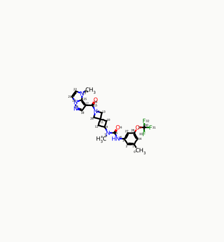 Cc1cc(NC(=O)N(C)C2CC3(C2)CN(C(=O)c2cnn4ccn(C)c24)C3)cc(OC(F)(F)F)c1